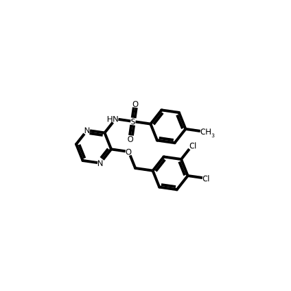 Cc1ccc(S(=O)(=O)Nc2nccnc2OCc2ccc(Cl)c(Cl)c2)cc1